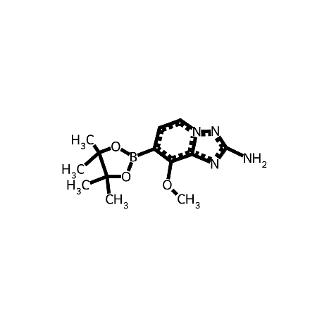 COc1c(B2OC(C)(C)C(C)(C)O2)ccn2nc(N)nc12